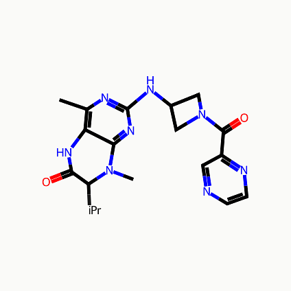 Cc1nc(NC2CN(C(=O)c3cnccn3)C2)nc2c1NC(=O)C(C(C)C)N2C